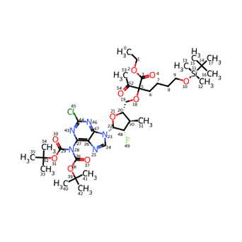 CCOC(=O)C(CCCCO[Si](C)(C)C(C)(C)C)(OC[C@H]1O[C@@H](n2cnc3c(N(C(=O)OC(C)(C)C)C(=O)OC(C)(C)C)nc(Cl)nc32)[C@@H](F)[C@@H]1C)C(C)=O